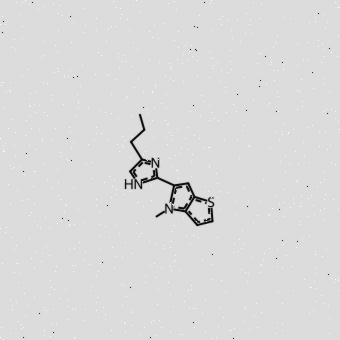 CCCc1c[nH]c(-c2cc3sccc3n2C)n1